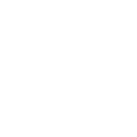 [3H]C(Oc1ccc(CCCCCCCCC)cc1)C(=O)O